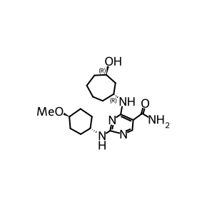 CO[C@H]1CC[C@H](Nc2ncc(C(N)=O)c(N[C@@H]3CCCC[C@@H](O)C3)n2)CC1